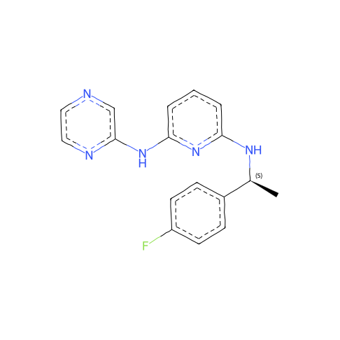 C[C@H](Nc1cccc(Nc2cnccn2)n1)c1ccc(F)cc1